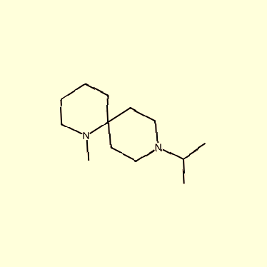 CC(C)N1CCC2(CCCCN2C)CC1